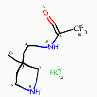 CC1(CNC(=O)C(F)(F)F)CNC1.Cl